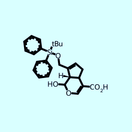 CC(C)(C)[Si](OCC1=CCC2C(C(=O)O)=COC(O)[C@H]12)(c1ccccc1)c1ccccc1